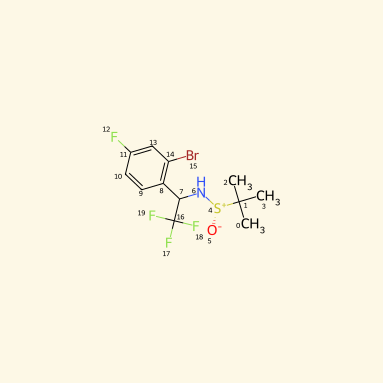 CC(C)(C)[S@+]([O-])NC(c1ccc(F)cc1Br)C(F)(F)F